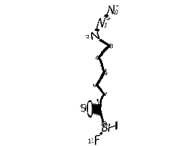 [N-]=[N+]=NCCCCCC(=O)BF